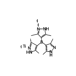 Cc1n[nH]c(C)c1B(c1c(C)n[nH]c1C)c1c(C)n[nH]c1C.[I].[I].[I].[Ti]